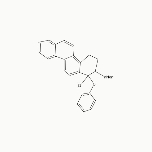 CCCCCCCCCC1CCc2c(ccc3c2ccc2ccccc23)C1(CC)Oc1ccccc1